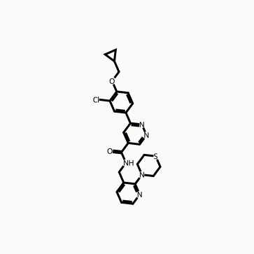 O=C(NCc1cccnc1N1CCSCC1)c1cnnc(-c2ccc(OCC3CC3)c(Cl)c2)c1